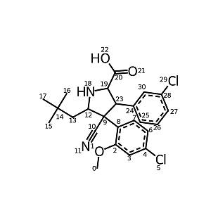 COc1cc(Cl)ccc1C1(C#N)C(CC(C)(C)C)NC(C(=O)O)C1c1cccc(Cl)c1